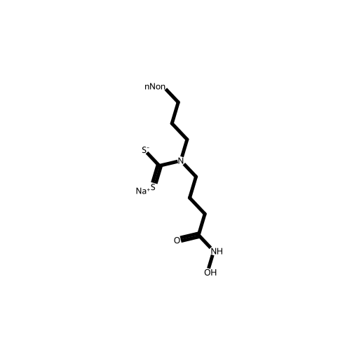 CCCCCCCCCCCCN(CCCC(=O)NO)C(=S)[S-].[Na+]